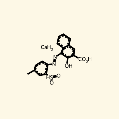 Cc1ccc(N=Nc2c(O)c(C(=O)O)cc3ccccc23)c([SH](=O)=O)c1.[CaH2]